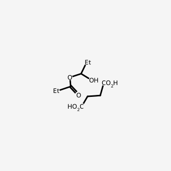 CCC(=O)OC(O)CC.O=C(O)CCC(=O)O